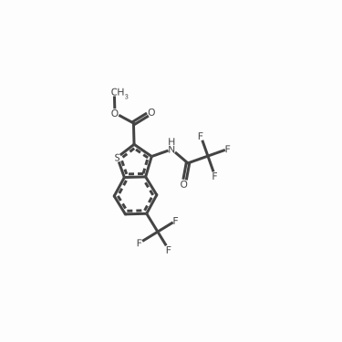 COC(=O)c1sc2ccc(C(F)(F)F)cc2c1NC(=O)C(F)(F)F